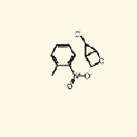 Cc1ccccc1[N+](=O)[O-].ClC1C2COC12